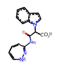 O=C(O)C(C(=O)NC1=NNC=CC=C1)n1ccc2ccccc21